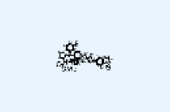 COC(=O)N[C@H]1CCC[C@@H]1[C@](CN1CCC1)(c1cccc(F)c1)C1CCN(CC2(OC)CN(c3ccc([SH](=O)=O)cc3)C2)CC1